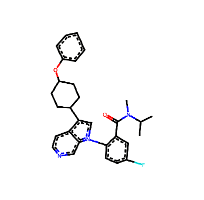 CC(C)N(C)C(=O)c1cc(F)ccc1-n1cc(C2CCC(Oc3ccccc3)CC2)c2ccncc21